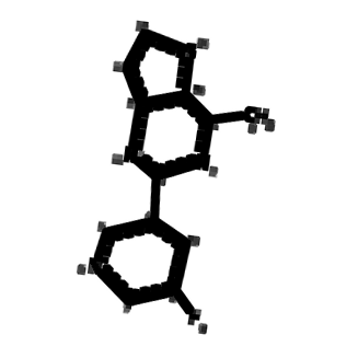 Cc1nc(-c2cncc(F)c2)nc2ccsc12